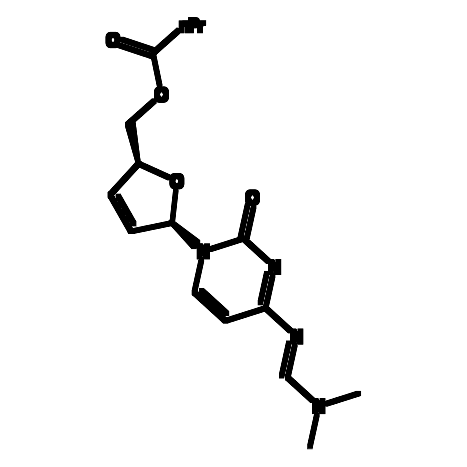 CCCC(=O)OC[C@@H]1C=C[C@H](n2ccc(N=CN(C)C)nc2=O)O1